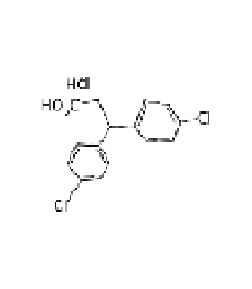 Cl.O=C(O)CC(c1ccc(Cl)cc1)c1ccc(Cl)cc1